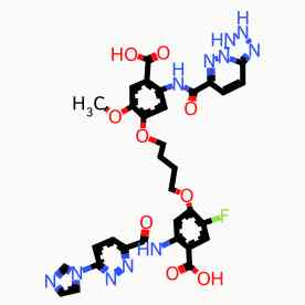 COc1cc(C(=O)O)c(NC(=O)C2=NN3NNN=C3C=C2)cc1OCCCCOc1cc(NC(=O)c2ccc(-n3ccnc3)nn2)c(C(=O)O)cc1F